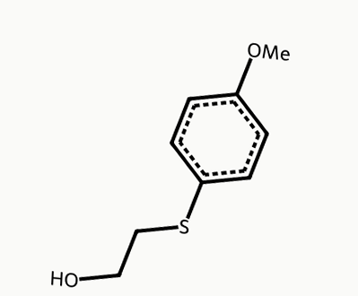 COc1ccc(SCCO)cc1